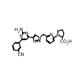 N#Cc1cccc(-c2cc(-c3cn(Cc4cccc(N5CCC[C@H]5C(=O)O)n4)nn3)nc(N)n2)c1